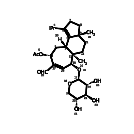 CC(=O)O[C@@H]1C[C@@H]2C3=C(C(C)C)CC[C@]3(C)CC[C@@]2(C)[C@@H](O[C@@H]2OC[C@@H](O)[C@H](O)[C@H]2O)C=C1C=O